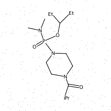 CCC(CC)OP(=O)(N(C)C)N1CCN(C(=O)C(C)C)CC1